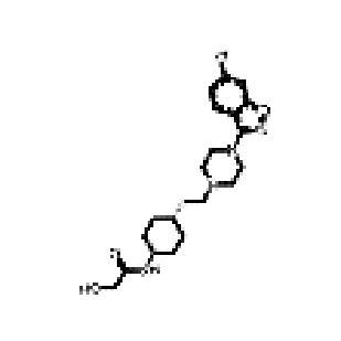 O=C(CO)N[C@H]1CC[C@H](CCN2CCN(c3noc4cc(Cl)ccc34)CC2)CC1